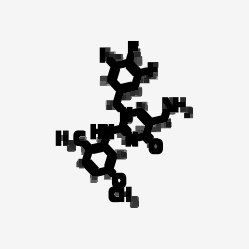 COc1ccc(C)c(Nc2nc(=O)c(CN)cn2Cc2cc(F)c(F)c(F)c2)c1